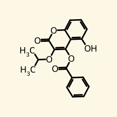 CC(C)Oc1c(OC(=O)c2ccccc2)c2c(O)cccc2oc1=O